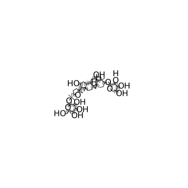 CC(C)(O[C@@H]1O[C@H](CO)[C@@H](O)[C@H](O)[C@H]1O)[C@@H]1CC[C@](C)([C@H]2[C@@H](O)C[C@@]3(C)[C@@H]4C[C@H](O)[C@H]5C(C)(C)[C@@H](O[C@@H]6OC[C@@H](O)[C@H](O)[C@H]6O)CC[C@@]56C[C@@]46CC[C@]23C)O1